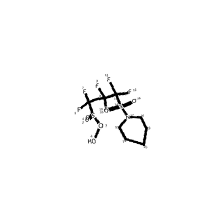 O=S(=O)(OO)C(F)(F)C(F)(F)C(F)(F)S(=O)(=O)N1CCCCC1